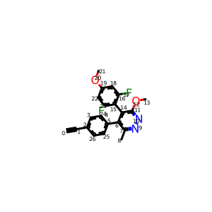 C#Cc1ccc(-c2c(C)nnc(OC)c2-c2c(F)cc(OC)cc2F)cc1